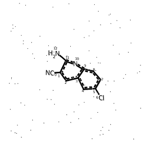 N#Cc1cc2cc(Cl)ccc2nc1N